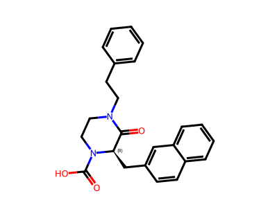 O=C1[C@@H](Cc2ccc3ccccc3c2)N(C(=O)O)CCN1CCc1ccccc1